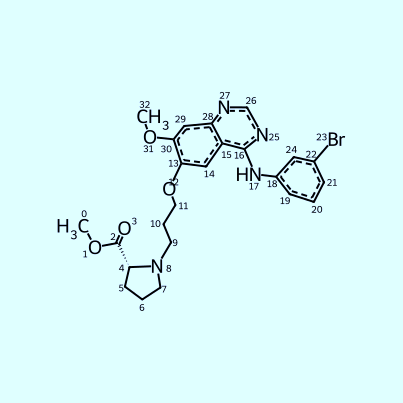 COC(=O)[C@H]1CCCN1CCCOc1cc2c(Nc3cccc(Br)c3)ncnc2cc1OC